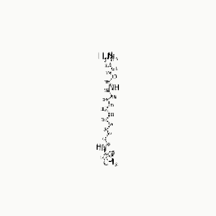 C=CC(=O)NCCCCCCCCCCCCNCCCCCCN